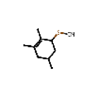 CC1=C(C)C(SC#N)CC(C)C1